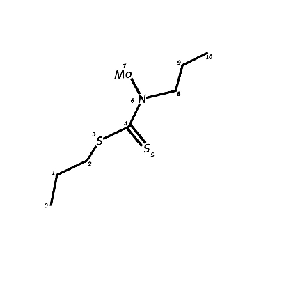 CCCSC(=S)[N]([Mo])CCC